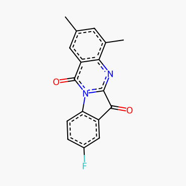 Cc1cc(C)c2nc3n(c(=O)c2c1)-c1ccc(F)cc1C3=O